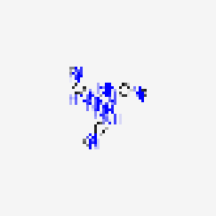 c1cnn(-c2ccc(NC3=NC4=NC(Nc5ccc(-n6cccn6)cc5)=NC5=NC(Nc6ccc(-n7cccn7)cc6)=NC(=N3)N45)cc2)c1